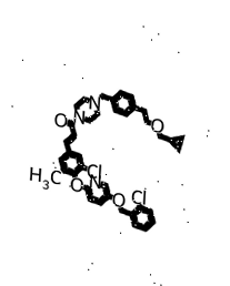 Cc1cc(/C=C/C(=O)N2CCN(Cc3ccc(CCOCC4CC4)cc3)CC2)cc(Cl)c1Oc1ccc(OCc2ccccc2Cl)cn1